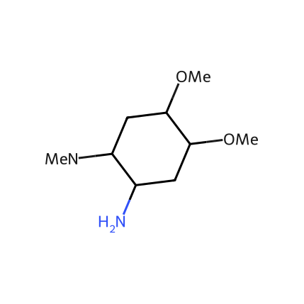 CNC1CC(OC)C(OC)CC1N